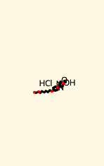 CCCCCCCCCCc1ccc(-c2ncc(C(=O)O)cn2)cc1.Cl